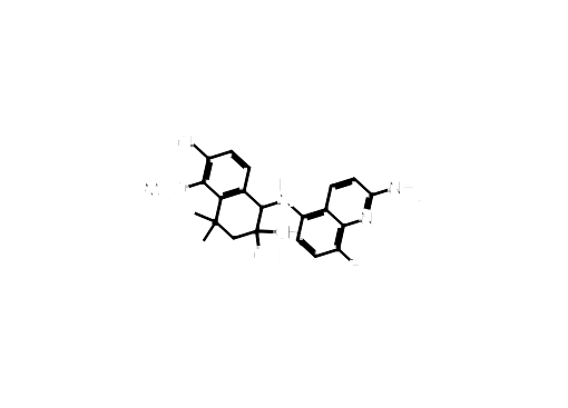 COc1c(Cl)ccc2c1C(C)(C)CC(O)(C(F)(F)F)C2Nc1ccc(F)c2nc(N)ccc12